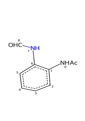 CC(=O)Nc1ccccc1NC=O